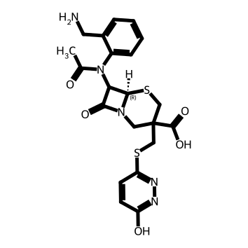 CC(=O)N(c1ccccc1CN)C1C(=O)N2CC(CSc3ccc(O)nn3)(C(=O)O)CS[C@H]12